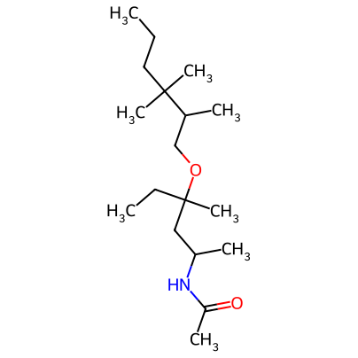 CCCC(C)(C)C(C)COC(C)(CC)CC(C)NC(C)=O